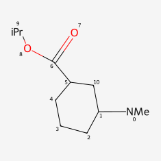 CNC1CCCC(C(=O)OC(C)C)C1